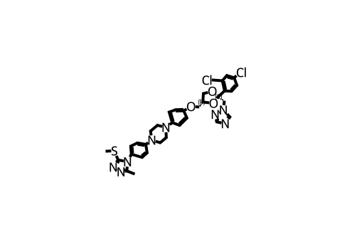 CSc1nnc(C)n1-c1ccc(N2CCN(c3ccc(OC[C@@H]4CO[C@@](Cn5cncn5)(c5ccc(Cl)cc5Cl)O4)cc3)CC2)cc1